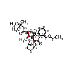 CCOCCN1C(=O)N(C(C)C)C2(CC3CCC(C2)N3C[C@H]2CN(C(=O)CC(C)(C)C)C[C@@H]2c2ccccc2)C1=O